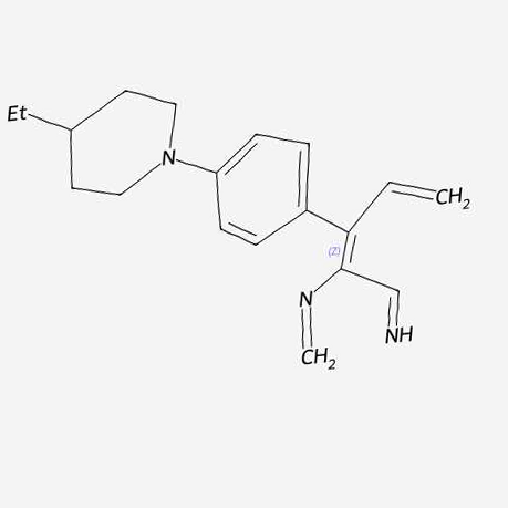 C=C/C(=C(\C=N)N=C)c1ccc(N2CCC(CC)CC2)cc1